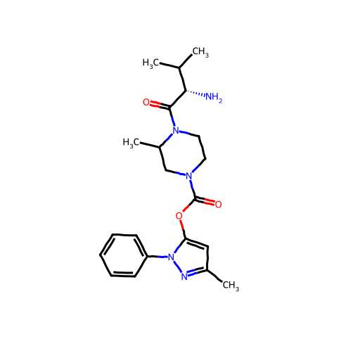 Cc1cc(OC(=O)N2CCN(C(=O)[C@@H](N)C(C)C)C(C)C2)n(-c2ccccc2)n1